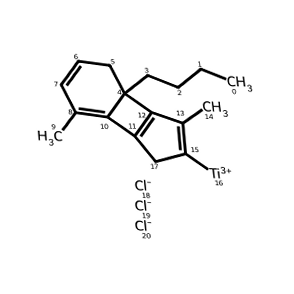 CCCCC12CC=CC(C)=C1C1=C2C(C)=[C]([Ti+3])C1.[Cl-].[Cl-].[Cl-]